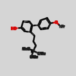 CCCOc1ccc(-c2ccc(O)cc2CCC[Si](OC)(OC)OC)cc1